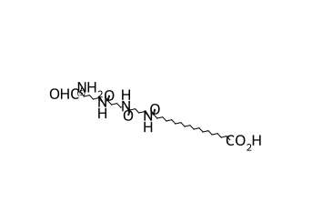 N[C@H](C=O)CCCCNC(=O)CCCNC(=O)CCCNC(=O)CCCCCCCCCCCCCCCCC(=O)O